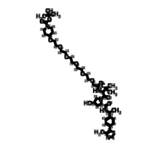 Cc1ncsc1-c1ccc([C@H](C)NC(=O)[C@@H]2C[C@@H](O)CN2C(=O)[C@@H](NC(=O)COCCOCCOCCOCCOCCOC2CCN(C(=O)OC(C)(C)C)CC2)C(C)(C)C)cc1